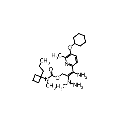 CCCC1(N(C)C(=O)OC/C(=C(/N)c2ccc(OC3CCCCC3)c(C)n2)N(C)N)CCC1